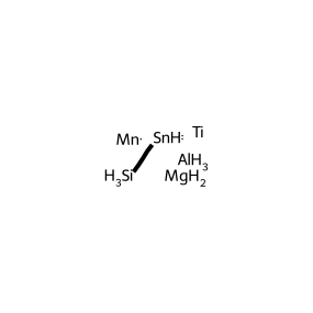 [AlH3].[MgH2].[Mn].[SiH3][SnH].[Ti]